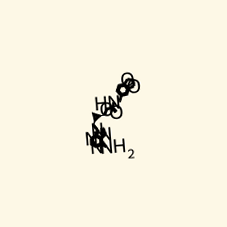 Nc1ncnc2c1ncn2C[C@H]1C[C@H]1COC(=O)NCc1ccc2c(c1)OCO2